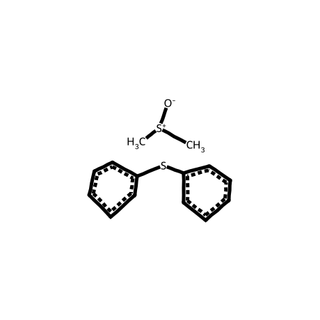 C[S+](C)[O-].c1ccc(Sc2ccccc2)cc1